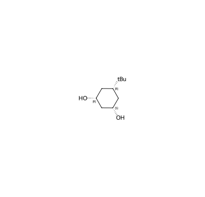 CC(C)(C)[C@@H]1C[C@H](O)C[C@H](O)C1